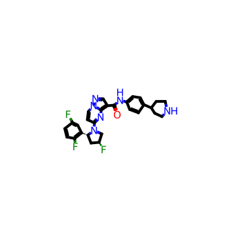 O=C(Nc1ccc(C2CCNCC2)cc1)c1cnn2ccc(N3C[C@@H](F)C[C@@H]3c3cc(F)ccc3F)nc12